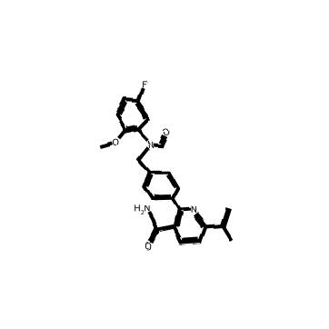 C=C(C)c1ccc(C(N)=O)c(-c2ccc(CN(C=O)c3cc(F)ccc3OC)cc2)n1